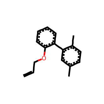 C=CCOc1ccccc1-c1cc(C)ccc1C